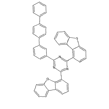 c1ccc(-c2ccc(-c3cccc(-c4nc(-c5cccc6c5oc5ccccc56)nc(-c5cccc6sc7ccccc7c56)n4)c3)cc2)cc1